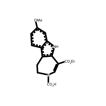 CCOC(=O)C1=CN(C(=O)O)CCc2c1[nH]c1cc(OC)ccc21